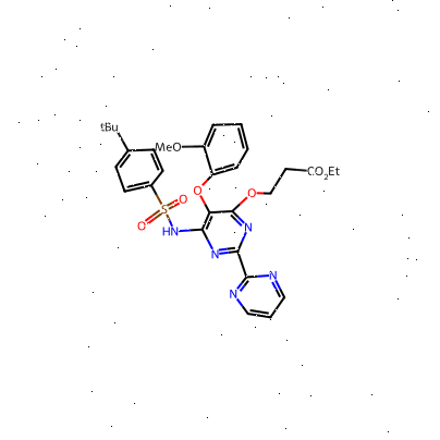 CCOC(=O)CCOc1nc(-c2ncccn2)nc(NS(=O)(=O)c2ccc(C(C)(C)C)cc2)c1Oc1ccccc1OC